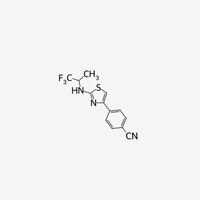 CC(Nc1nc(-c2ccc(C#N)cc2)cs1)C(F)(F)F